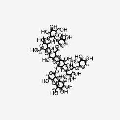 OCC1OC(OC2[C@@H](OCC3O[C@@H](O[C@H]4C(O)C(O)C(O)O[C@H]4CO)C(O)[C@@H](O)[C@@H]3O[C@@H]3O[C@@H](CO[C@@H]4OC[C@H](O)C(O)C4O[C@@H]4OC(CO)[C@H](O)[C@H](O)C4O)[C@@H](O[C@@H]4OC(CO[C@H]5OC[C@@H](O)[C@H](O)C5O)[C@@H](O)[C@H](O)C4O)C(O)C3O)OC[C@@H](O)[C@@H]2O)[C@@H](O)[C@@H](O)[C@H]1O